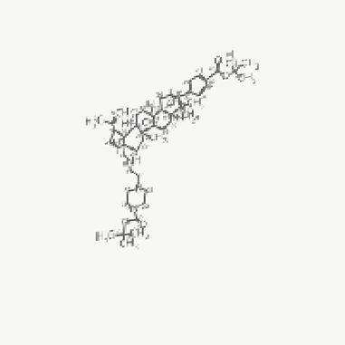 C=C(C)[C@@H]1CC[C@]2(CNCCN3CCN(C(=O)OC(C)(C)C)CC3)CC[C@]3(C)[C@H](CC[C@@H]4[C@@]5(C)CC=C(c6ccc(C(=O)OC(C)(C)C)cc6)C(C)(C)[C@]5(N)CC[C@]43C)[C@@H]12